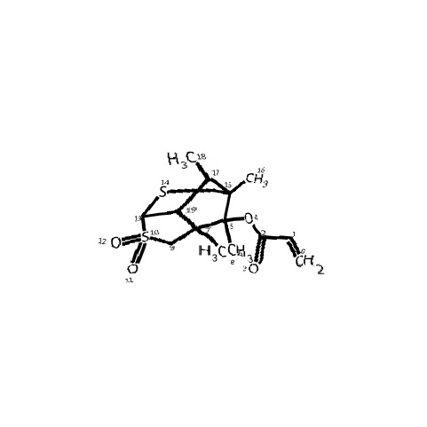 C=CC(=O)OC1(C)C2(C)CS(=O)(=O)C3SC1(C)C(C)C32